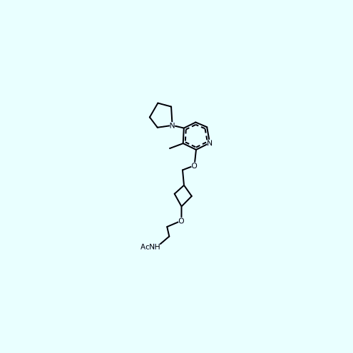 CC(=O)NCCOC1CC(COc2nccc(N3CCCC3)c2C)C1